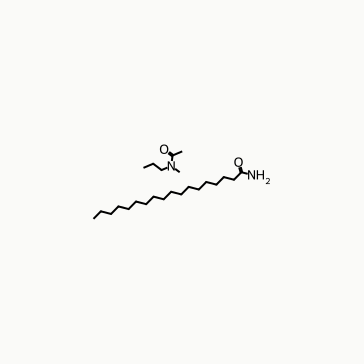 CCCCCCCCCCCCCCCCCC(N)=O.CCCN(C)C(C)=O